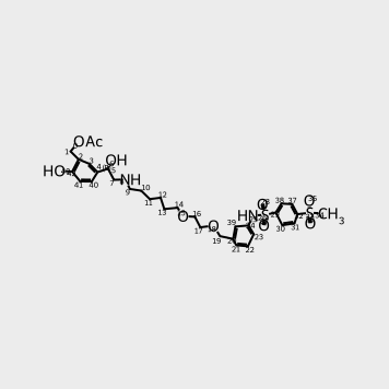 CC(=O)OCc1cc([C@@H](O)CNCCCCCCOCCOCc2cccc(NS(=O)(=O)c3ccc(S(C)(=O)=O)cc3)c2)ccc1O